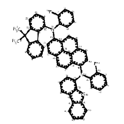 CC1(C)c2ccccc2-c2c(N(c3ccccc3F)c3ccc4ccc5c(N(c6ccccc6F)c6cccc7c6sc6ccccc67)ccc6ccc3c4c65)cccc21